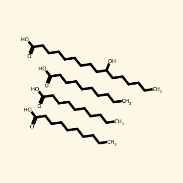 CCCCCCC(O)CCCCCCCCC(=O)O.CCCCCCCCCC(=O)O.CCCCCCCCCC(=O)O.CCCCCCCCCC(=O)O